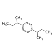 CC[C](C)c1ccc([C](C)CC)cc1